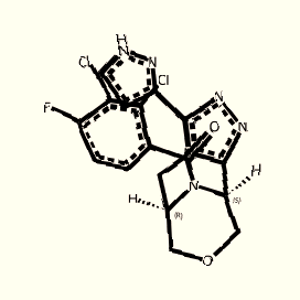 O=C(c1ccc(F)c(Cl)c1Cl)N1[C@H]2COC[C@@H]1c1nnc(-c3cc[nH]n3)n1C2